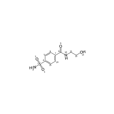 NS(=O)(=O)c1ccc(C(=O)NCCO)cc1